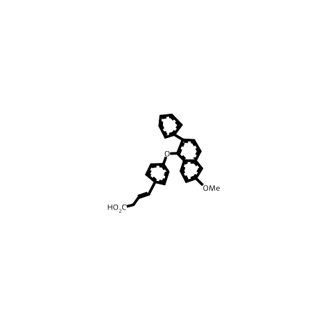 COc1ccc2c(Oc3ccc(C=CCC(=O)O)cc3)c(-c3ccccc3)ccc2c1